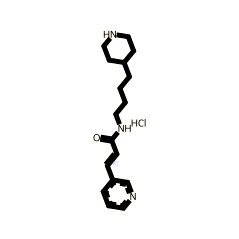 Cl.O=C(/C=C/c1cccnc1)NCCCCC1CCNCC1